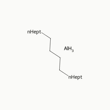 [AlH3].[CH2]CCCCCCCCCCCCCCCCC